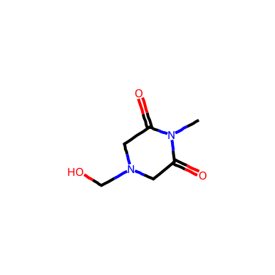 CN1C(=O)CN(CO)CC1=O